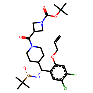 C=CCOc1cc(Cl)c(Cl)cc1[C@H](N[S@@+]([O-])C(C)(C)C)C1CCN(C(=O)C2CN(C(=O)OC(C)(C)C)C2)CC1